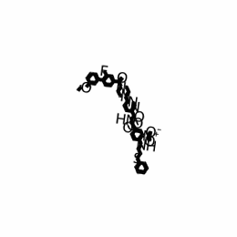 CCOc1cccc(-c2ccc(C(=O)N3CCN(c4ccc(C(=O)NS(=O)(=O)c5ccc(NCCSc6ccccc6)c([N+](=O)[O-])c5)nn4)CC3)cc2F)c1